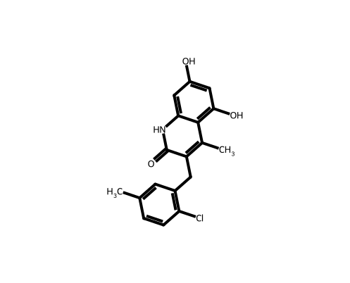 Cc1ccc(Cl)c(Cc2c(C)c3c(O)cc(O)cc3[nH]c2=O)c1